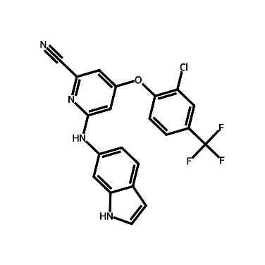 N#Cc1cc(Oc2ccc(C(F)(F)F)cc2Cl)cc(Nc2ccc3cc[nH]c3c2)n1